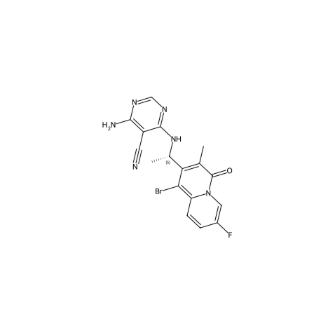 Cc1c([C@H](C)Nc2ncnc(N)c2C#N)c(Br)c2ccc(F)cn2c1=O